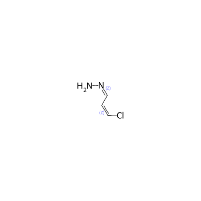 N/N=C\C=C/Cl